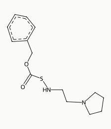 O=C(OCc1ccccc1)SNCCN1CCCC1